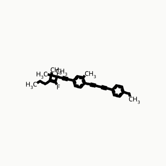 CCCC1=C(F)[C@](C)(C#Cc2ccc(C#CC#Cc3ccc(CC)cc3)c(C)c2)C1(C)C